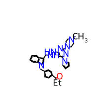 CCC(=O)c1ccc(Cn2cc(CNNc3cc(-n4cccc4)nc(N4CCN(C)CC4)n3)c3ccccc32)cc1